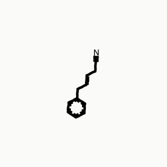 N#CCC=CCc1ccccc1